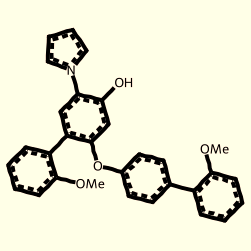 COc1ccccc1-c1ccc(Oc2cc(O)c(-n3cccc3)cc2-c2ccccc2OC)cc1